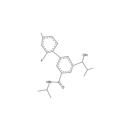 Cc1ccc(-c2cc(C(=O)NC(C)C)cc(C(O)C(C)C)c2)c(F)c1